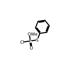 COP(=O)(Cl)Sc1ccccc1